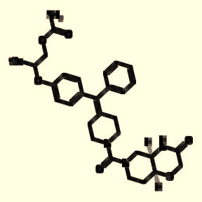 CC(C)(C)C(COC(N)=O)Oc1ccc(C(=C2CCN(C(=O)N3CC[C@@H]4OCC(=O)N[C@@H]4C3)CC2)c2ccccc2)cc1